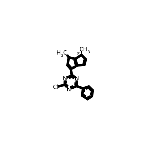 CC1C=C(c2nc(Cl)nc(-c3ccccc3)n2)C2=C1[C@H](C)C=C2